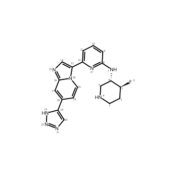 F[C@H]1CCNC[C@@H]1Nc1cccc(-c2cnc3cc(-c4cnn[nH]4)ccn23)n1